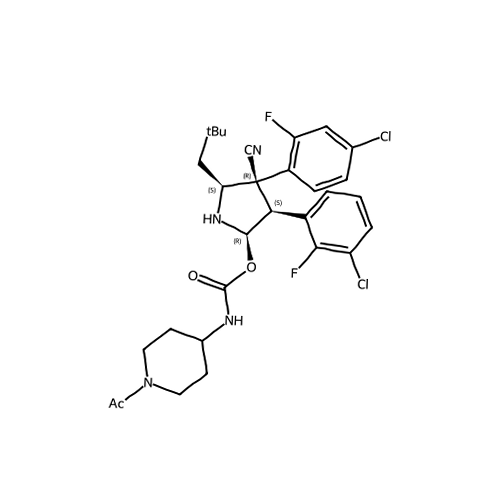 CC(=O)N1CCC(NC(=O)O[C@H]2N[C@@H](CC(C)(C)C)[C@](C#N)(c3ccc(Cl)cc3F)[C@H]2c2cccc(Cl)c2F)CC1